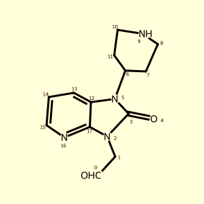 O=CCn1c(=O)n(C2CCNCC2)c2cccnc21